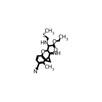 CCOC(=O)C(NCSC)C(Oc1ccc(C#N)c(C)c1)C(=N)C1CC1